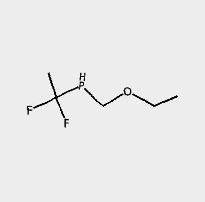 CCOCPC(C)(F)F